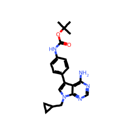 CC(C)(C)OC(=O)Nc1ccc(-c2cn(CC3CC3)c3ncnc(N)c23)cc1